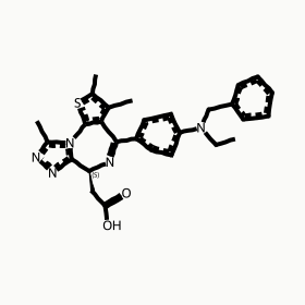 CCN(Cc1ccccc1)c1ccc(C2=N[C@@H](CC(=O)O)c3nnc(C)n3-c3sc(C)c(C)c32)cc1